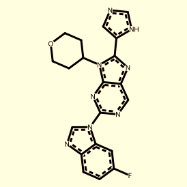 Fc1ccc2ncn(-c3ncc4nc(-c5cnc[nH]5)n(C5CCOCC5)c4n3)c2c1